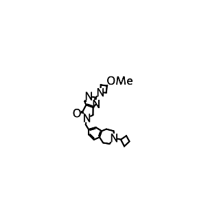 COC1CN(c2ncc3c(n2)CN(Cc2ccc4c(c2)CCN(C2CCC2)CC4)C3=O)C1